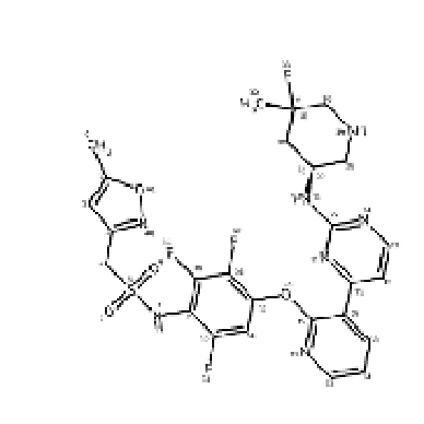 Cc1cc(CS(=O)(=O)Nc2c(F)cc(Oc3ncccc3-c3ccnc(N[C@@H]4CNC[C@@](C)(F)C4)n3)c(F)c2F)no1